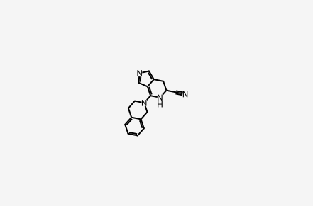 N#CC1CC2=CN=CC2=C(N2CCc3ccccc3C2)N1